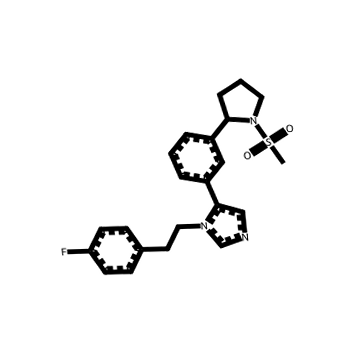 CS(=O)(=O)N1CCCC1c1cccc(-c2cncn2CCc2ccc(F)cc2)c1